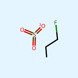 CCCF.O=S(=O)=[1O]